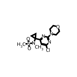 CN(C1(c2cc(Cl)nc(N3CCOCC3)n2)CC1)S(C)(=O)=O